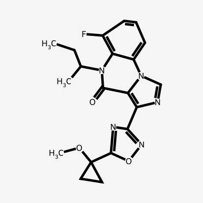 CCC(C)n1c(=O)c2c(-c3noc(C4(OC)CC4)n3)ncn2c2cccc(F)c21